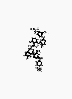 Cc1cc(S(N)(=O)=O)ccc1Nc1ncc(Br)c(Nc2cccc(F)c2C(=O)NCOc2ccc(F)c(F)c2C(=O)c2cnc(NC3CCN(S(C)(=O)=O)CC3)nc2N)n1